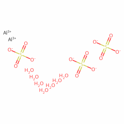 O.O.O.O.O.O.O.O=S(=O)([O-])[O-].O=S(=O)([O-])[O-].O=S(=O)([O-])[O-].[Al+3].[Al+3]